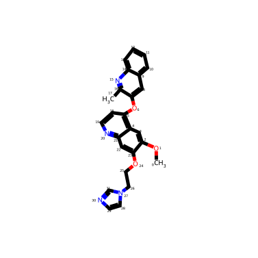 COc1cc2c(Oc3cc4ccccc4nc3C)ccnc2cc1OCCn1ccnc1